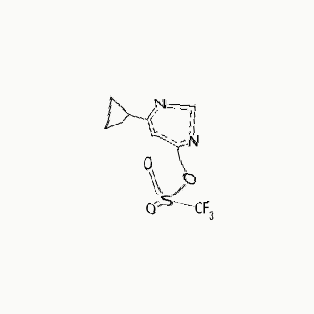 O=S(=O)(Oc1cc(C2CC2)ncn1)C(F)(F)F